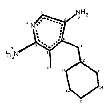 Cc1c(N)ncc(N)c1CC1CCCCC1